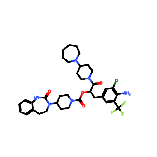 Nc1c(Cl)cc(C[C@@H](OC(=O)N2CCC(N3CCc4ccccc4NC3=O)CC2)C(=O)N2CCC(N3CCCCCC3)CC2)cc1C(F)(F)F